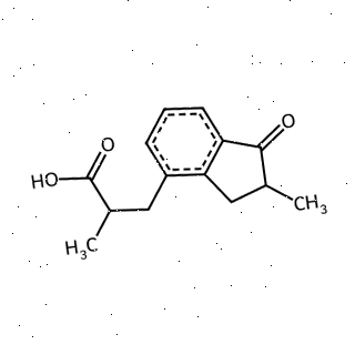 CC(Cc1cccc2c1CC(C)C2=O)C(=O)O